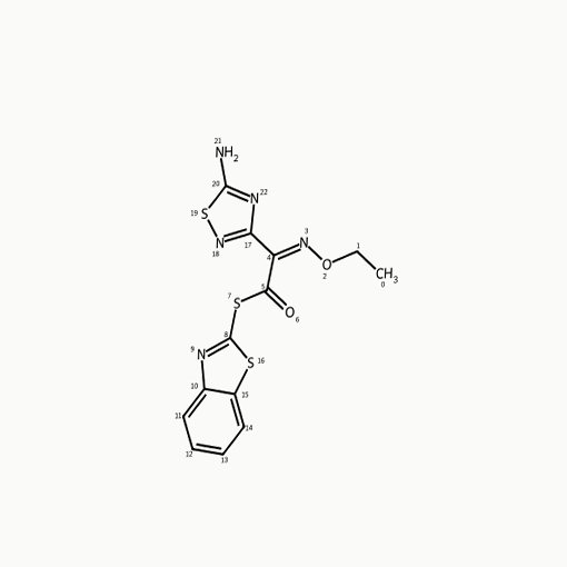 CCO/N=C(\C(=O)Sc1nc2ccccc2s1)c1nsc(N)n1